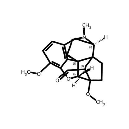 COc1ccc2c3c1O[C@H]1C4(OC)CCC5(C[C@@H]4C=O)[C@@H](C2)N(C)CC[C@]315